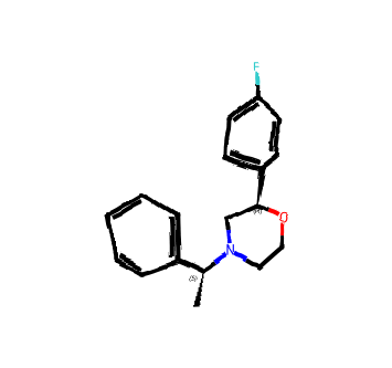 C[C@@H](c1ccccc1)N1CCO[C@H](c2ccc(F)cc2)C1